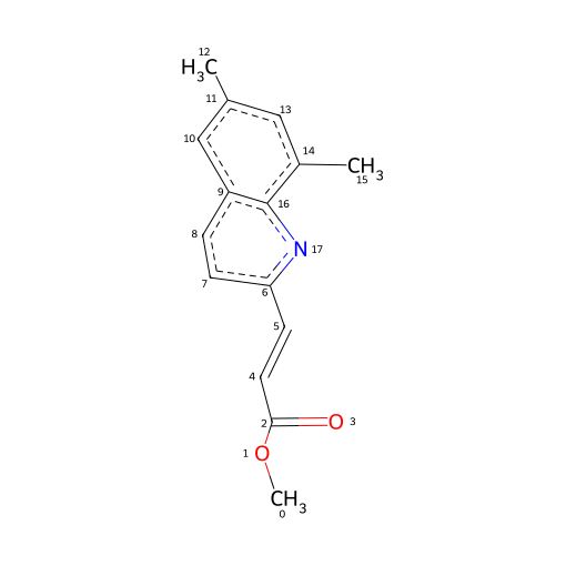 COC(=O)/C=C/c1ccc2cc(C)cc(C)c2n1